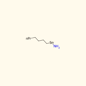 CCCCCC[CH2][Sn][NH2]